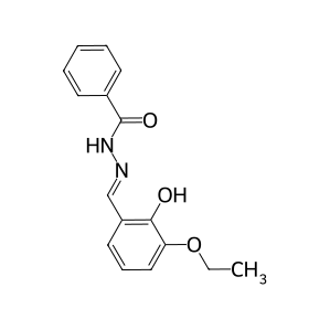 CCOc1cccc(C=NNC(=O)c2ccccc2)c1O